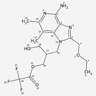 CCOCc1nc2c(N)nc(C)c(C)c2n1CC(CO)COC(=O)C(F)(F)F